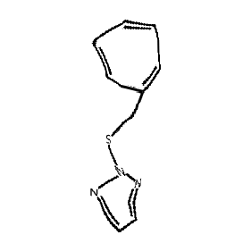 c1ccc(CSn2nccn2)cc1